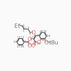 CC/C=C/CCOc1c(OC(=O)c2ccccc2)c(=O)oc2c(OC(C)(C)C)cccc12